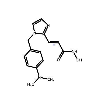 CN(C)c1ccc(Cn2ccnc2/C=C/C(=O)NO)cc1